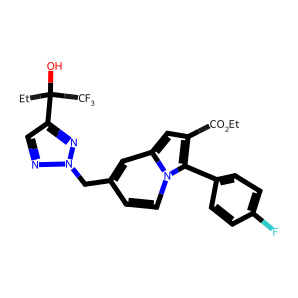 CCOC(=O)c1cc2cc(Cn3ncc(C(O)(CC)C(F)(F)F)n3)ccn2c1-c1ccc(F)cc1